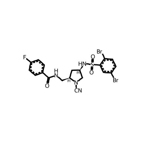 N#CN1C[C@H](NS(=O)(=O)c2cc(Br)ccc2Br)C[C@@H]1CNC(=O)c1ccc(F)cc1